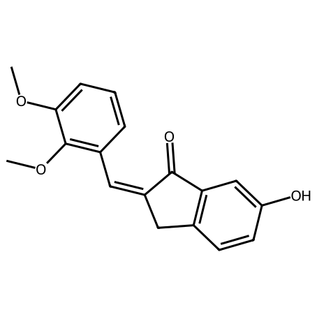 COc1cccc(C=C2Cc3ccc(O)cc3C2=O)c1OC